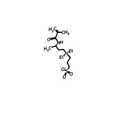 C=C(C)C(=O)NC(C)CC[N+](CC)(CC)CCCS(=O)(=O)[O-]